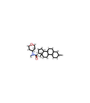 CC1CCC2C(CCC3C2CCC2(C)C3CC[C@@H]2C(=O)N(C)C2CCOCC2)C1